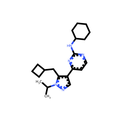 CC(C)n1ncc(-c2ccnc(NC3CCCCC3)n2)c1CC1CCC1